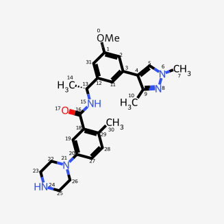 COc1cc(-c2cn(C)nc2C)cc([C@@H](C)NC(=O)c2cc(N3CCNCC3)ccc2C)c1